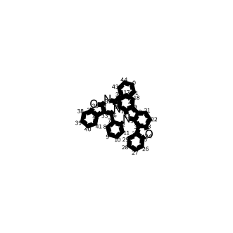 c1ccc(-c2nc(-c3ccccc3-n3c4ccccc4c4ccc5oc6ccccc6c5c43)c3c(n2)oc2ccccc23)cc1